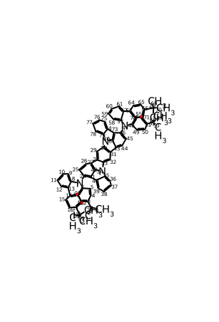 CC(C)c1ccc(N(c2ccccc2-c2ccc(C(C)(C)C)cc2)c2ccc3c4cc5c(cc4n4c6ccccc6c2c34)c2ccc(N(c3ccc(C(C)C)cc3)c3ccccc3-c3ccc(C(C)(C)C)cc3)c3c4ccccc4n5c23)cc1